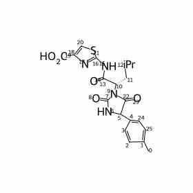 Cc1ccc(C2NC(=O)N([C@@H](CC(C)C)C(=O)Nc3nc(C(=O)O)cs3)C2=O)cc1